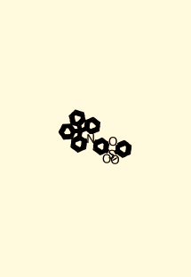 O=S1(=O)c2ccccc2Oc2cc(N3c4ccccc4C(c4ccccc4)(c4ccccc4)c4ccccc43)ccc21